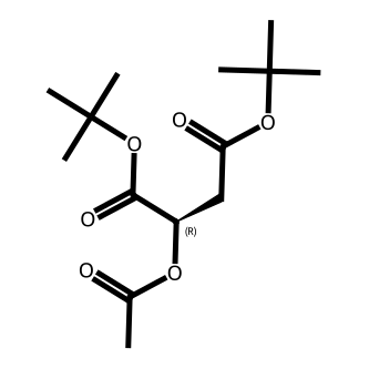 CC(=O)O[C@H](CC(=O)OC(C)(C)C)C(=O)OC(C)(C)C